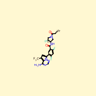 CC(C)CC(=O)N1C[C@H](F)[C@H](NC(=O)c2cc(-c3cc(C(F)(F)F)c4c(N)ncnn34)c(F)cc2F)C1